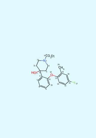 CCOC(=O)N1CCC(O)(c2ccccc2Oc2ccc(F)cc2C)CC1